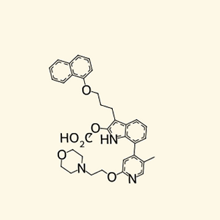 Cc1cnc(OCCN2CCOCC2)cc1-c1cccc2c(CCCOc3cccc4ccccc34)c(OC(=O)O)[nH]c12